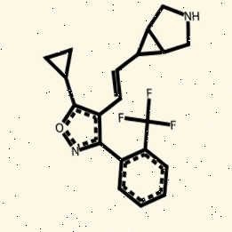 FC(F)(F)c1ccccc1-c1noc(C2CC2)c1/C=C/C1C2CNCC12